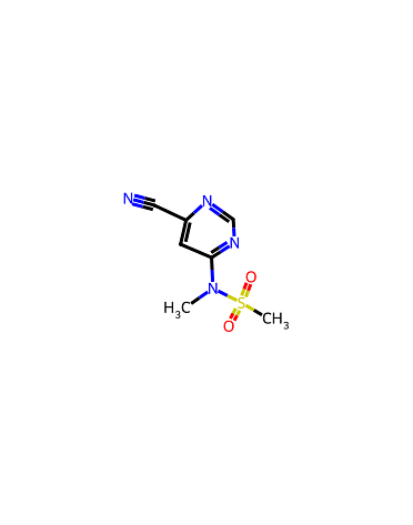 CN(c1cc(C#N)ncn1)S(C)(=O)=O